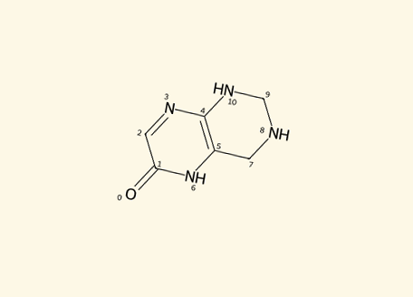 O=c1cnc2c([nH]1)CNCN2